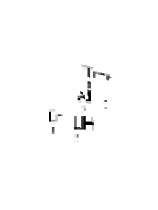 [AlH3].[Er].[LiH].[Tm]